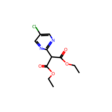 CCOC(=O)C(C(=O)OCC)c1ncc(Cl)cn1